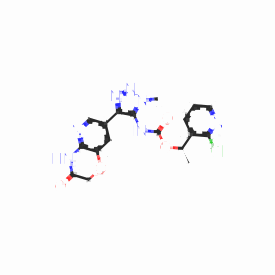 C[C@@H](OC(=O)Nc1c(-c2cnc3c(c2)OCC(=O)N3)nnn1C)c1cccnc1Cl